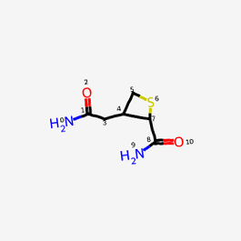 NC(=O)CC1CSC1C(N)=O